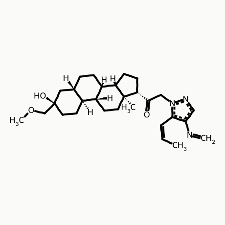 C=Nc1cnn(CC(=O)[C@H]2CC[C@H]3[C@@H]4CC[C@H]5C[C@@](O)(COC)CC[C@@H]5[C@H]4CC[C@]23C)c1/C=C\C